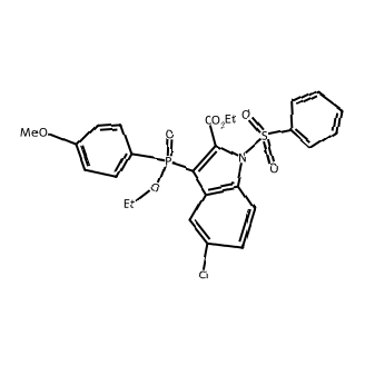 CCOC(=O)c1c(P(=O)(OCC)c2ccc(OC)cc2)c2cc(Cl)ccc2n1S(=O)(=O)c1ccccc1